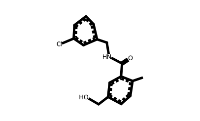 Cc1ccc(CO)cc1C(=O)NCc1cccc(Cl)c1